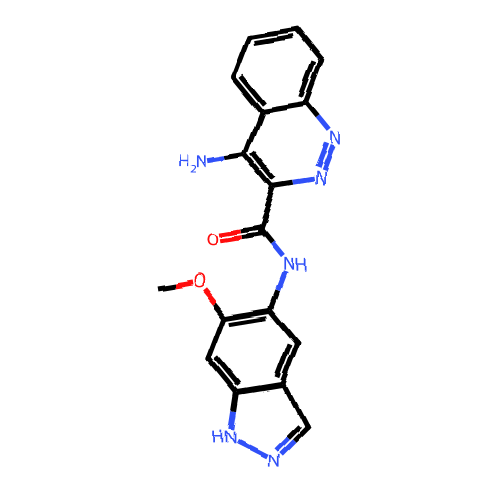 COc1cc2[nH]ncc2cc1NC(=O)c1nnc2ccccc2c1N